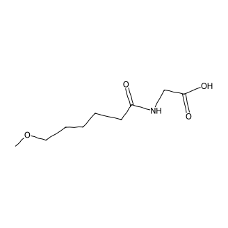 COCCCCCC(=O)NCC(=O)O